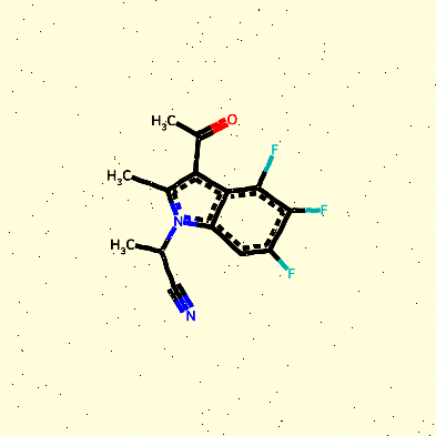 CC(=O)c1c(C)n(C(C)C#N)c2cc(F)c(F)c(F)c12